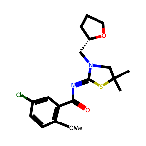 COc1ccc(Cl)cc1C(=O)/N=C1\SC(C)(C)CN1C[C@@H]1CCCO1